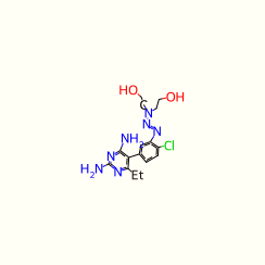 CCc1nc(N)nc(N)c1-c1ccc(Cl)c(N=NN(CCO)CCO)c1